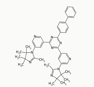 CC1=NC(C)(C)C(C)(C)N1c1cncc(-c2nc(-c3ccc(-c4ccccc4)cc3)nc(-c3cncc(N4C(C)=NC(C)(C)C4(C)C)c3)n2)c1